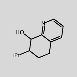 CC(C)C1CCc2cccnc2C1O